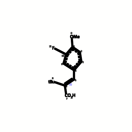 COc1ccc(/C=C(/C(=O)O)C(C)(C)C)cc1F